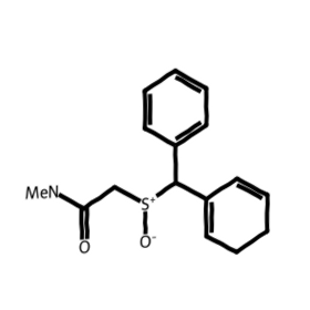 CNC(=O)C[S+]([O-])C(C1=CCCC=C1)c1ccccc1